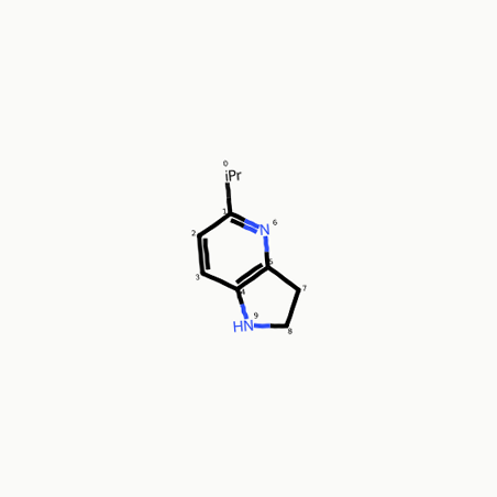 CC(C)c1ccc2c(n1)CCN2